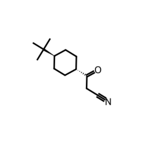 CC(C)(C)[C@H]1CC[C@H](C(=O)CC#N)CC1